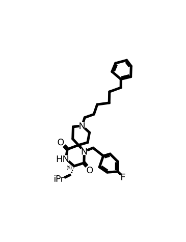 CC(C)C[C@@H]1NC(=O)C2(CCN(CCCCCCc3ccccc3)CC2)N(Cc2ccc(F)cc2)C1=O